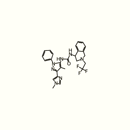 Cc1c(-c2cn(C)cn2)nn(-c2ccccc2)c1NC(=O)NC1CN(CC(F)(F)F)Cc2ccccc21